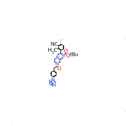 Cc1c(C2CN3CCN(C(=O)Cc4ccc(-n5cnnn5)cc4)CC3CN2C(=O)OC(C)(C)C)ccc(F)c1C#N